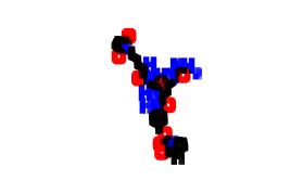 NC(=O)NCCCC(NC(=O)CNC(=O)CCCCCN1C(=O)C=CC1=O)C(=O)Nc1ccc(COC(=O)N2C3CC[C@H](C3)C2C=O)cc1